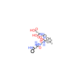 CC(C)[C@H](NC(=O)CNC(=O)[C@@H](N)Cc1c[nH]c2ccccc12)C(=O)N1CCC[C@H]1C(=O)N[C@@H](CCC(=O)O)C(=O)O